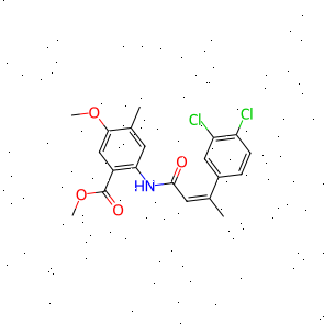 COC(=O)c1cc(OC)c(C)cc1NC(=O)/C=C(/C)c1ccc(Cl)c(Cl)c1